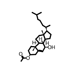 CC(=O)O[C@H]1CC[C@@]2(C)C(=C[C@H](O)[C@H]3[C@@H]4CC[C@H](C(C)CCCC(C)C)[C@@]4(C)CC[C@@H]32)C1